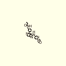 C=CC(=O)NCc1cccc(-c2nccc3cnc(Nc4ccc(N5CCOCC5)nc4)nc23)c1